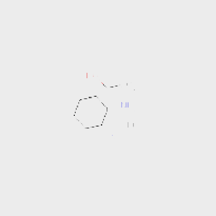 N[C@@H]1CCCC[C@@H]1N.O=C(O)CO.[Pt]